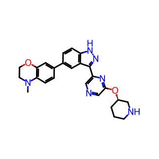 CN1CCOc2cc(-c3ccc4[nH]nc(-c5cncc(O[C@@H]6CCCNC6)n5)c4c3)ccc21